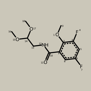 COc1c(F)cc(F)cc1C(=O)NCC(OC)OC